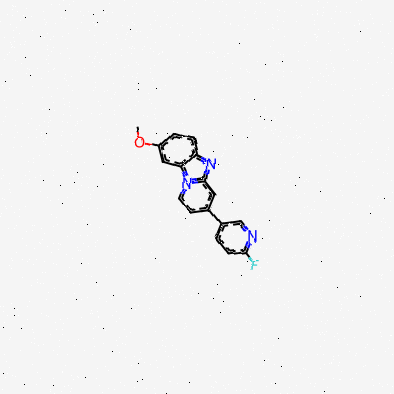 COc1ccc2nc3cc(-c4ccc(F)nc4)ccn3c2c1